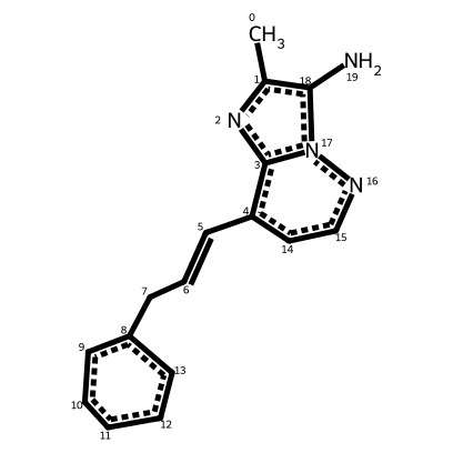 Cc1nc2c(C=CCc3ccccc3)ccnn2c1N